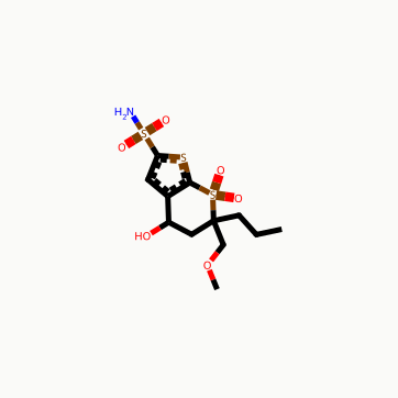 CCCC1(COC)CC(O)c2cc(S(N)(=O)=O)sc2S1(=O)=O